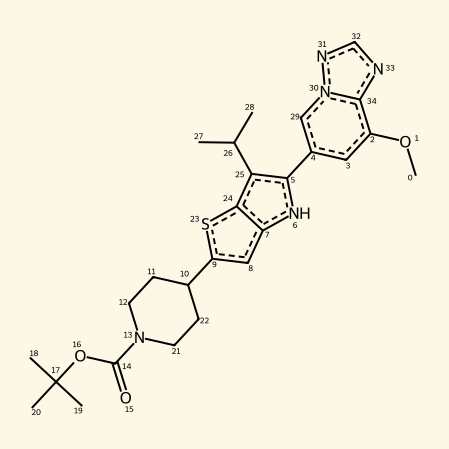 COc1cc(-c2[nH]c3cc(C4CCN(C(=O)OC(C)(C)C)CC4)sc3c2C(C)C)cn2ncnc12